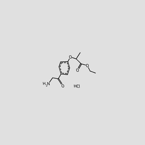 CCOC(=O)C(C)Oc1ccc(C(=O)CN)cc1.Cl